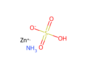 N.O=S(=O)([O-])O.[Zn+]